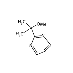 COC(C)(C)c1nc[c]cn1